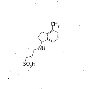 Cc1cccc2c1CCC2NCCCS(=O)(=O)O